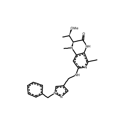 CO[C@H](C)[C@H]1C(=O)Nc2c(cc(NCc3cnn(Cc4ccccc4)c3)nc2C)N1C